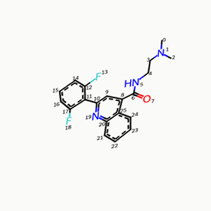 CN(C)CCNC(=O)c1cc(-c2c(F)cccc2F)nc2ccccc12